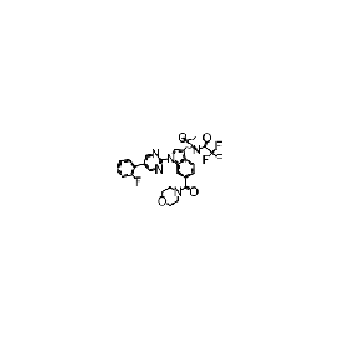 CS(=O)(=NC(=O)C(F)(F)F)c1cn(-c2ncc(-c3ccccc3F)cn2)c2cc(C(=O)N3CCOCC3)ccc12